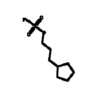 CC(C)S(=O)(=O)[N]CCCC1CCCC1